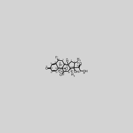 CC1C[C@H]2[C@@H]3CC(F)C4=CC(=O)C=C[C@]4(C)[C@@]3(Cl)C(Cl)C[C@]2(C)[C@@]1(O)C(=O)CO